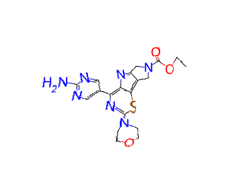 CCOC(=O)N1Cc2nc3c(-c4cnc(N)nc4)nc(N4CCOCC4)sc-3c2C1